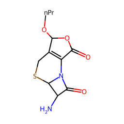 CCCOC1OC(=O)C2=C1CSC1C(N)C(=O)N21